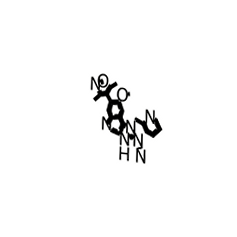 COc1cc2c(cc1-c1c(C)noc1C)ncc1[nH]/c(=N\C#N)n(Cc3ccccn3)c12